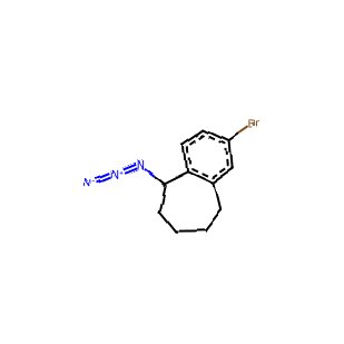 [N-]=[N+]=NC1CCCCc2cc(Br)ccc21